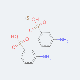 Nc1cccc(S(=O)(=O)O)c1.Nc1cccc(S(=O)(=O)O)c1.[S]